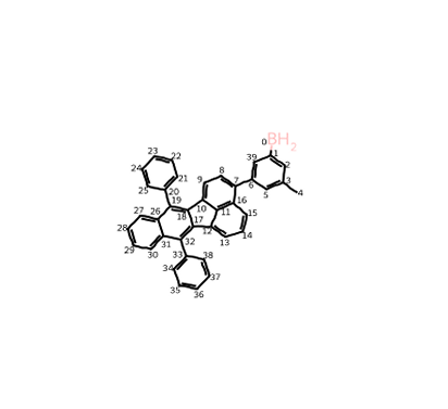 Bc1cc(C)cc(-c2ccc3c4c(cccc24)-c2c-3c(-c3ccccc3)c3ccccc3c2-c2ccccc2)c1